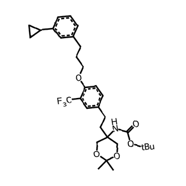 CC(C)(C)OC(=O)NC1(CCc2ccc(OCCCc3cccc(C4CC4)c3)c(C(F)(F)F)c2)COC(C)(C)OC1